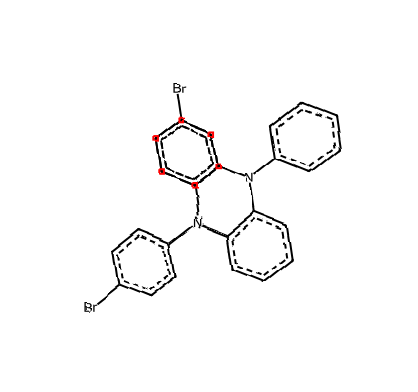 Brc1ccc(N(c2ccc(Br)cc2)c2ccccc2N(c2ccccc2)c2ccccc2)cc1